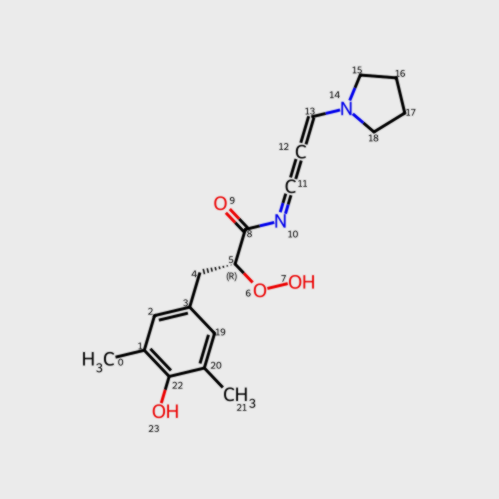 Cc1cc(C[C@@H](OO)C(=O)N=C=C=CN2CCCC2)cc(C)c1O